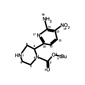 CC(C)(C)OC(=O)N1CCNCC1c1ccc([N+](=O)[O-])c(N)n1